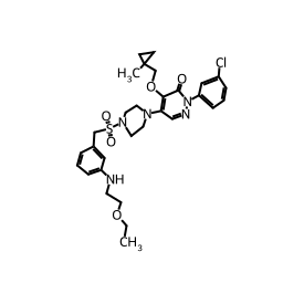 CCOCCNc1cccc(CS(=O)(=O)N2CCN(c3cnn(-c4cccc(Cl)c4)c(=O)c3OCC3(C)CC3)CC2)c1